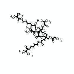 C=CC(=O)OCC(COCC(COC(=O)CCCCCOC(=O)C(=C)C)(COC(=O)C(=C)C)COC(=O)C(=C)C)(COC(=O)CCCCCOC(=O)C(=C)C)COC(=O)C(=C)C